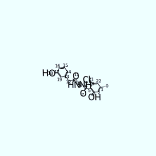 Cc1cc(O)c(C(=O)NNC(=O)Cc2cccc(O)c2)c(Cl)c1